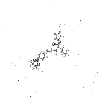 C[C@@H](OC(C)(C)C)C(NC/C=C/c1ccc(B2OC(C)(C)C(C)(C)O2)cc1)C(=O)OC1CCCC1